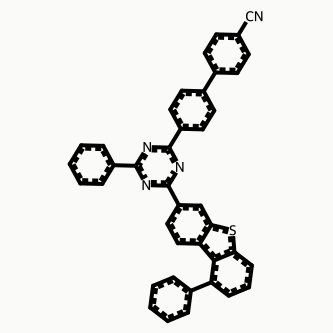 N#Cc1ccc(-c2ccc(-c3nc(-c4ccccc4)nc(-c4ccc5c(c4)sc4cccc(-c6ccccc6)c45)n3)cc2)cc1